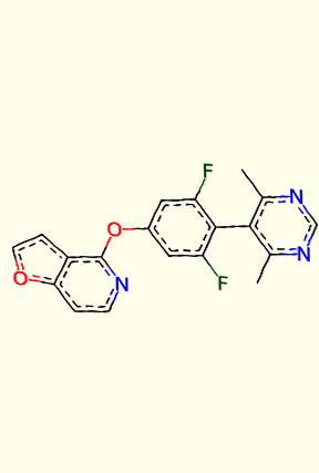 Cc1ncnc(C)c1-c1c(F)cc(Oc2nccc3occc23)cc1F